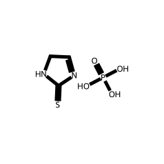 O=P(O)(O)O.S=C1N=CCN1